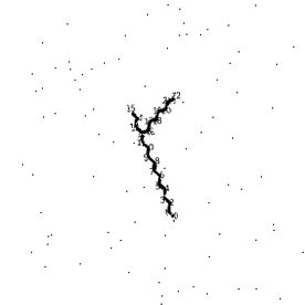 [CH2]CCCCCCC=CCCCC(CCC)CCCCCC[CH2]